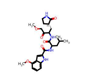 COCC(=O)C(C[C@@H]1CCNC1=O)NC(=O)C(CC(C)C)NC(=O)c1cc2c(OC)cccc2[nH]1